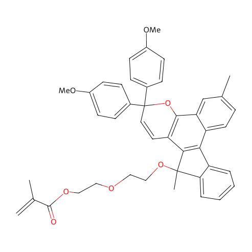 C=C(C)C(=O)OCCOCCOC1(C)c2ccccc2-c2c1c1c(c3cc(C)ccc23)OC(c2ccc(OC)cc2)(c2ccc(OC)cc2)C=C1